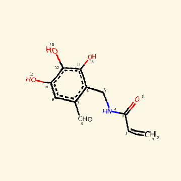 C=CC(=O)NCc1c(C=O)cc(O)c(O)c1O